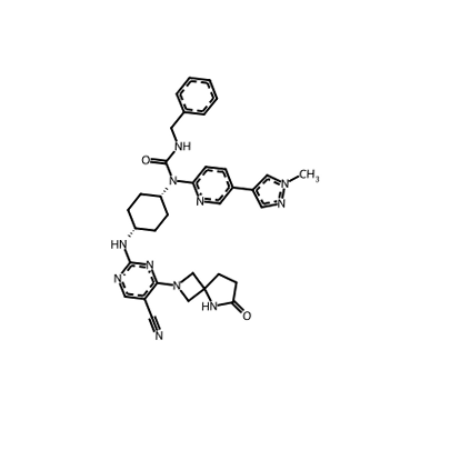 Cn1cc(-c2ccc(N(C(=O)NCc3ccccc3)[C@H]3CC[C@@H](Nc4ncc(C#N)c(N5CC6(CCC(=O)N6)C5)n4)CC3)nc2)cn1